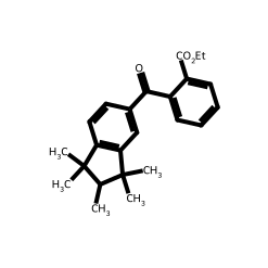 CCOC(=O)c1ccccc1C(=O)c1ccc2c(c1)C(C)(C)C(C)C2(C)C